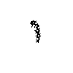 Fc1cccc(F)c1C1CCC(c2ccc(-c3ccc(OC(F)(F)F)cc3)cc2)=N1